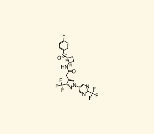 O=C(Cc1cn(-c2cnc(C(F)(F)F)nc2)nc1C(F)(F)F)N[C@@H]1CC[C@@H]1[S+]([O-])c1ccc(F)cc1